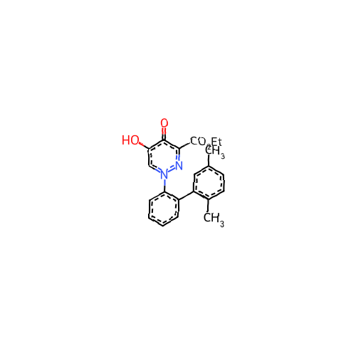 CCOC(=O)c1nn(-c2ccccc2-c2cc(C)ccc2C)cc(O)c1=O